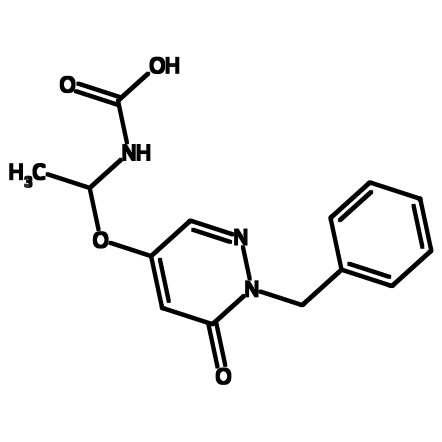 CC(NC(=O)O)Oc1cnn(Cc2ccccc2)c(=O)c1